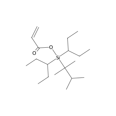 C=CC(=O)O[Si](C(CC)CC)(C(CC)CC)C(C)(C)C(C)C